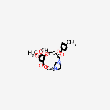 COc1cc2cc(c1OC)OCCCC(OC(=O)c1ccc(C)cc1)CCN1CCCN(CCCOC2=O)CC1